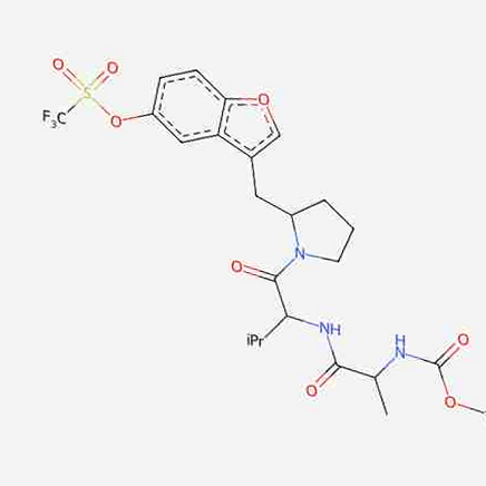 CC(NC(=O)OC(C)(C)C)C(=O)NC(C(=O)N1CCCC1Cc1coc2ccc(OS(=O)(=O)C(F)(F)F)cc12)C(C)C